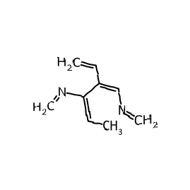 C=CC(=C/N=C)/C(=C\C)N=C